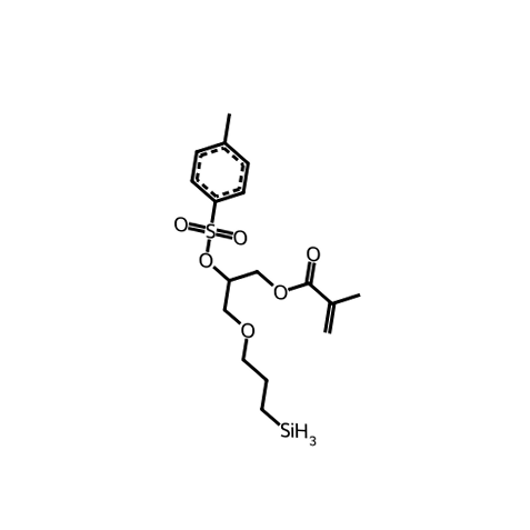 C=C(C)C(=O)OCC(COCCC[SiH3])OS(=O)(=O)c1ccc(C)cc1